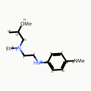 CCN(CCNc1ccc(NC)cc1)CC(C)OC